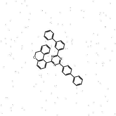 c1ccc(-c2ccc(-c3nc(-c4cccc(-c5ccccc5)c4)nc(-c4cccc5c4-c4ccccc4CO5)n3)cc2)cc1